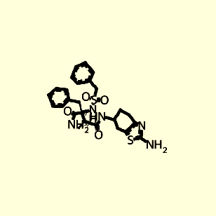 C[C@H](C(=O)NC1CCc2nc(N)sc2C1)[C@@](Cc1ccccc1)(NS(=O)(=O)Cc1ccccc1)C(N)=O